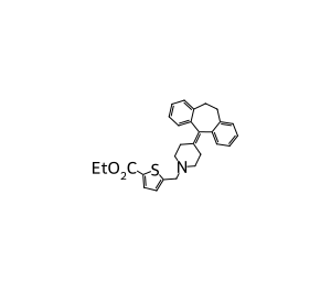 CCOC(=O)c1ccc(CN2CCC(=C3c4ccccc4CCc4ccccc43)CC2)s1